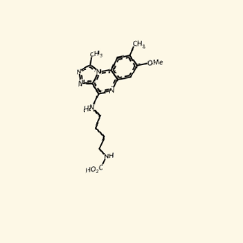 COc1cc2nc(NCCCCNC(=O)O)c3nnc(C)n3c2cc1C